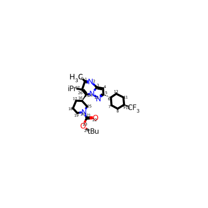 Cc1nc2cc([C@H]3CC[C@H](C(F)(F)F)CC3)nn2c([C@@H]2CCCN(C(=O)OC(C)(C)C)C2)c1C(C)C